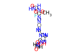 COc1cc(N2CCN(C3CCC(n4cc(-c5cn6ncc(C#N)c6c(-c6ccc(N7C[C@H]8COC[C@@H](C7)N8C(=O)O)nc6)n5)cn4)CC3)CC2)c(F)cc1NC1CCC(=O)NC1=O